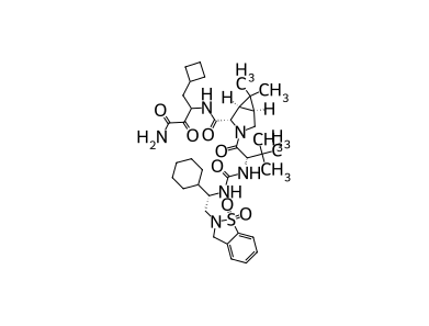 CC(C)(C)[C@H](NC(=O)N[C@H](CN1Cc2ccccc2S1(=O)=O)C1CCCCC1)C(=O)N1C[C@H]2[C@@H]([C@H]1C(=O)NC(CC1CCC1)C(=O)C(N)=O)C2(C)C